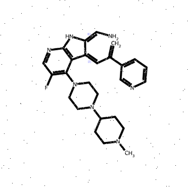 C=C(/C=c1\c(=C/N)[nH]c2ncc(F)c(N3CCN(C4CCN(C)CC4)CC3)c12)c1cccnc1